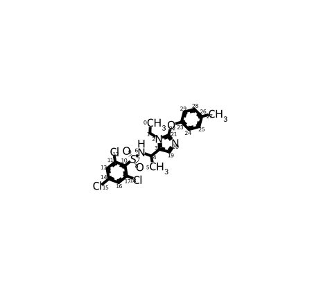 CCn1c(C(C)NS(=O)(=O)c2c(Cl)cc(Cl)cc2Cl)cnc1Oc1ccc(C)cc1